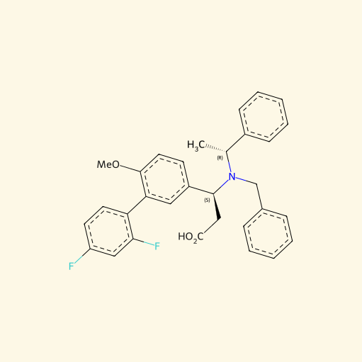 COc1ccc([C@H](CC(=O)O)N(Cc2ccccc2)[C@H](C)c2ccccc2)cc1-c1ccc(F)cc1F